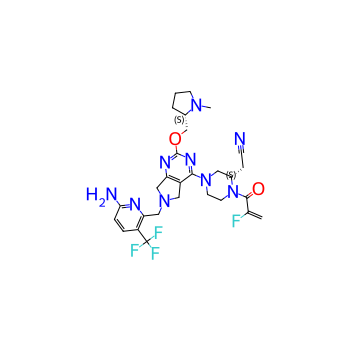 C=C(F)C(=O)N1CCN(c2nc(OC[C@@H]3CCCN3C)nc3c2CN(Cc2nc(N)ccc2C(F)(F)F)C3)C[C@@H]1CC#N